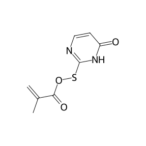 C=C(C)C(=O)OSc1nccc(=O)[nH]1